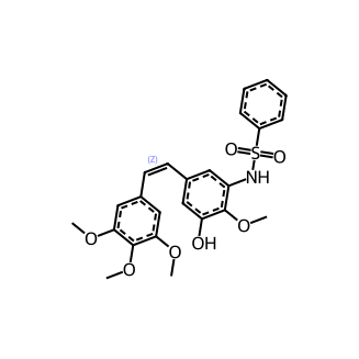 COc1cc(/C=C\c2cc(O)c(OC)c(NS(=O)(=O)c3ccccc3)c2)cc(OC)c1OC